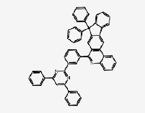 c1ccc(-c2cc(-c3ccccc3)nc(-c3cccc(-c4nc5ccccc5c5cc6c(cc45)C(c4ccccc4)(c4ccccc4)c4ccccc4-6)c3)n2)cc1